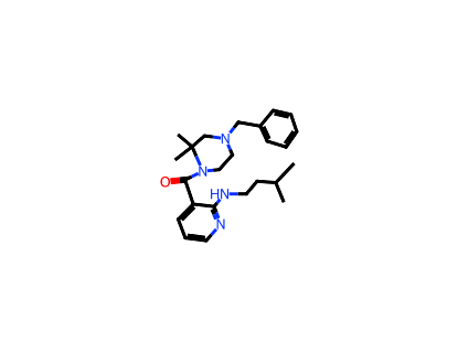 CC(C)CCNc1ncccc1C(=O)N1CCN(Cc2ccccc2)CC1(C)C